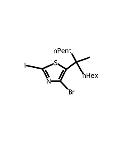 CCCCCCC(C)(CCCCC)c1sc(I)nc1Br